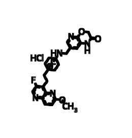 COc1ccc2ncc(F)c(CCC34CCC(NCc5cnc6c(c5)NC(=O)CO6)(CC3)CO4)c2n1.Cl